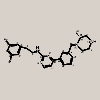 Fc1cc(F)cc(CCNc2nccc(-c3cccc(CN4CCNC[C@H]4I)c3)n2)c1